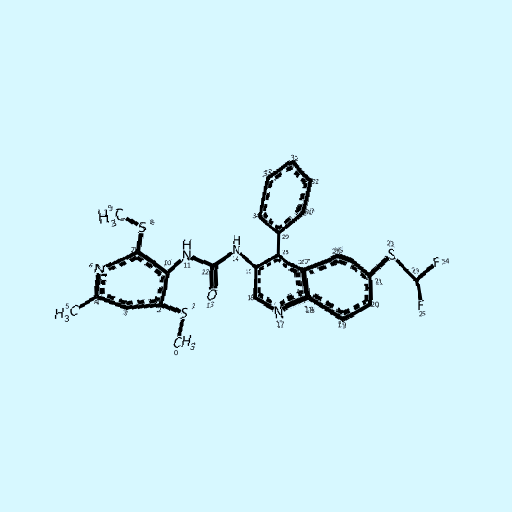 CSc1cc(C)nc(SC)c1NC(=O)Nc1cnc2ccc(SC(F)F)cc2c1-c1ccccc1